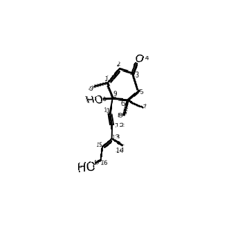 CC1=CC(=O)CC(C)(C)C1(O)C#C/C(C)=C/CO